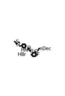 Br.CCCCCCCCCCCCOc1c(F)cccc1OCC(=O)Nc1cccc(CN2C=C(C)SC2)c1